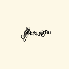 CC(C)(C)OC(=O)N1CCC(Cn2ccc3cc(Nc4ncnc5ccn(CCOC(=O)c6ccccc6)c45)ccc32)CC1